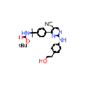 CC(C)(C)OC(=O)NC(C)(C)c1ccc(-c2nc(Nc3ccc(CCO)cc3)ncc2C#N)cc1